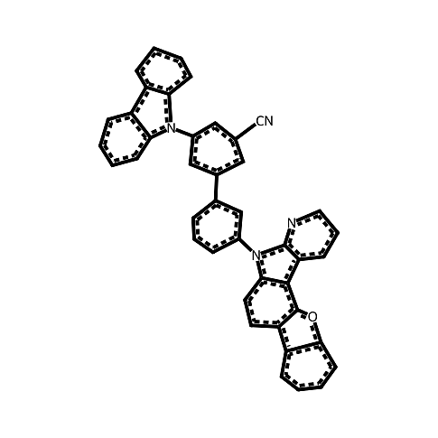 N#Cc1cc(-c2cccc(-n3c4ccc5c6ccccc6oc5c4c4cccnc43)c2)cc(-n2c3ccccc3c3ccccc32)c1